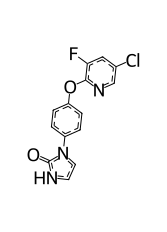 O=c1[nH]ccn1-c1ccc(Oc2ncc(Cl)cc2F)cc1